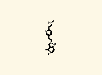 CC1C2=CN(CCc3ccc(CCNF)nc3)N(C)C2C=CN1C